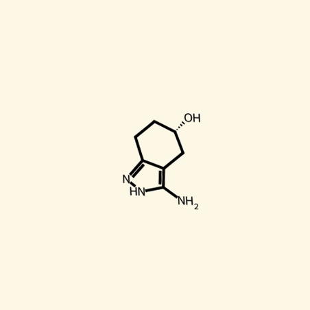 Nc1[nH]nc2c1C[C@@H](O)CC2